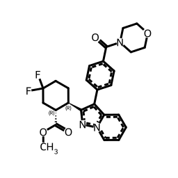 COC(=O)[C@@H]1CC(F)(F)CC[C@H]1c1nn2ccccc2c1-c1ccc(C(=O)N2CCOCC2)cc1